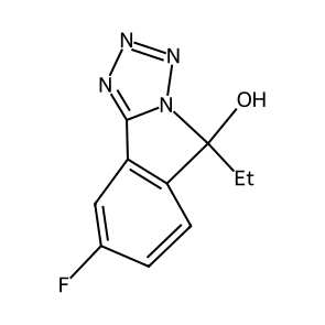 CCC1(O)c2ccc(F)cc2-c2nnnn21